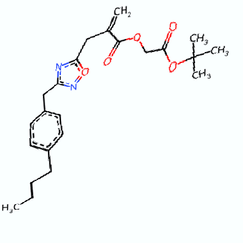 C=C(Cc1nc(Cc2ccc(CCCC)cc2)no1)C(=O)OCC(=O)OC(C)(C)C